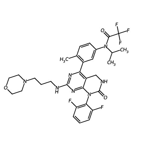 Cc1ccc(N(C(=O)C(F)(F)F)C(C)C)cc1-c1nc(NCCCN2CCOCC2)nc2c1CNC(=O)N2c1c(F)cccc1F